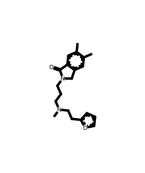 Cc1cc2c(cc1C)C(=O)N(CCCN(C)CCc1ccco1)C2